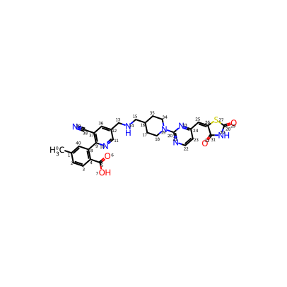 Cc1ccc(C(=O)O)c(-c2ncc(CNCC3CCN(c4nccc(C=C5SC(=O)NC5=O)n4)CC3)cc2C#N)c1